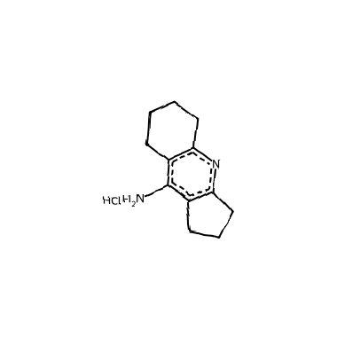 Cl.Nc1c2c(nc3c1CCC3)CCCC2